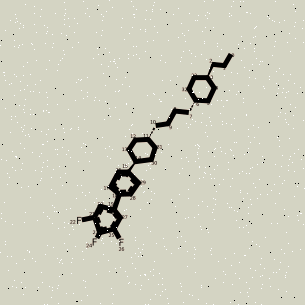 CCC[C@H]1CC[C@H](CCCC[C@H]2CC[C@H](c3ccc(-c4cc(F)c(F)c(F)c4)cc3)CC2)CC1